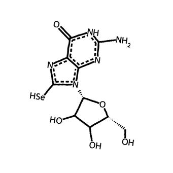 Nc1nc2c(nc([SeH])n2[C@@H]2O[C@H](CO)C(O)C2O)c(=O)[nH]1